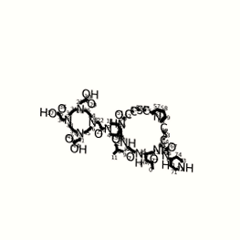 CC[C@H](C)[C@@H]1NC(=O)[C@H](CC(C)C)NC(=O)C2(CCN(C(=O)CN3CCN(CC(=O)O)CCN(CC(=O)O)CCN(CC(=O)O)CC3)CC2)NC(=O)CCSCc2cccc(n2)CSC[C@H](C(=O)NC2CCNCC2)NC1=O